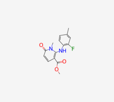 COC(=O)c1ccc(=O)n(C)c1Nc1ccc(C)cc1F